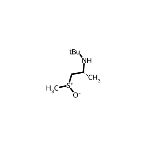 C[C@H](C[S+](C)[O-])NC(C)(C)C